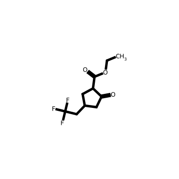 CCOC(=O)C1CC(CC(F)(F)F)CC1=O